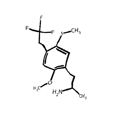 COc1cc(CC(F)(F)F)c(SC)cc1CC(C)N